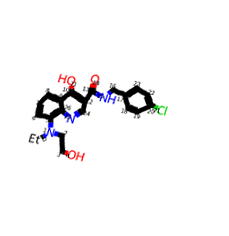 CCN(CCO)c1cccc2c(O)c(C(=O)NCc3ccc(Cl)cc3)cnc12